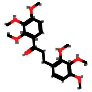 COc1ccc(CCC(=O)c2ccc(OC)c(OC)c2OC)c(OC)c1OC